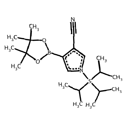 CC(C)S(C(C)C)(C(C)C)n1cc(C#N)c(B2OC(C)(C)C(C)(C)O2)c1